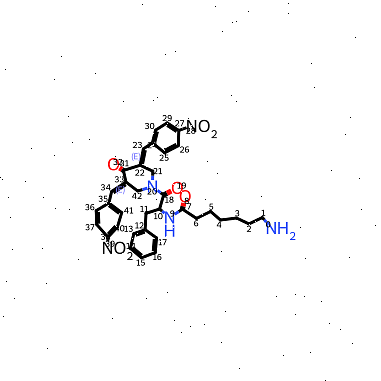 NCCCCCCC(=O)NC(Cc1ccccc1)C(=O)N1C/C(=C\c2ccc([N+](=O)[O-])cc2)C(=O)/C(=C/c2ccc([N+](=O)[O-])cc2)C1